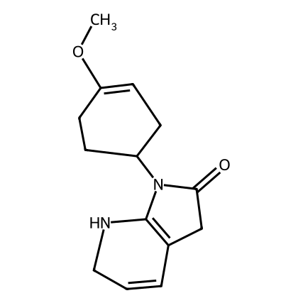 COC1=CCC(N2C(=O)CC3=C2NCC=C3)CC1